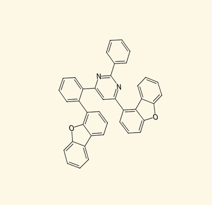 c1ccc(-c2nc(-c3ccccc3-c3cccc4c3oc3ccccc34)cc(-c3cccc4oc5ccccc5c34)n2)cc1